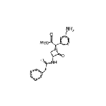 COC(=O)C(c1cccc(N)c1)N1CC(NC(=O)Cc2ccccc2)C1=O